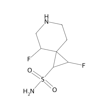 NS(=O)(=O)C1C(F)C12CCNCC2F